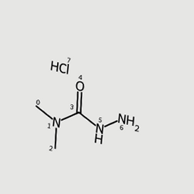 CN(C)C(=O)NN.Cl